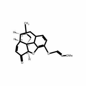 CON=COC1=C2O[C@H]3C(=O)C=C[C@H]4[C@H]5CC(C=C1)C2[C@@]34CCN5C